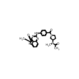 CC(=O)N(C)C1CCN(C(=O)c2ccc(NC3=NCC45CC(=O)C(C)C=NC4=CC=CC5=N3)cc2)C1